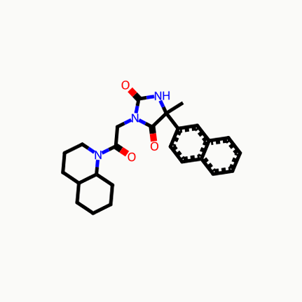 CC1(c2ccc3ccccc3c2)NC(=O)N(CC(=O)N2CCCC3CCCCC32)C1=O